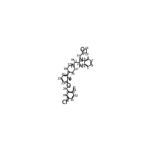 C[C@@H](c1nc2ccccc2n1C[C@@H]1CCO1)N1CCC(c2cccc(OCc3cc(Cl)ccc3F)n2)CC1